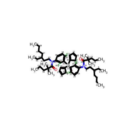 CCCCC(CC)CCN(C(=O)C(C)(C)CCC)c1ccc(F)[c]([Ti]([C]2=CC=CC2)([C]2=CC=CC2)[c]2c(F)ccc(N(CCC(CC)CCCC)C(=O)C(C)(C)CCC)c2F)c1F